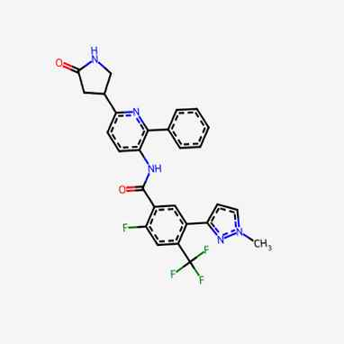 Cn1ccc(-c2cc(C(=O)Nc3ccc(C4CNC(=O)C4)nc3-c3ccccc3)c(F)cc2C(F)(F)F)n1